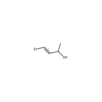 [CH2]C/C=C/C(C)CCC